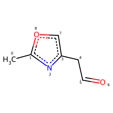 Cc1nc(C[C]=O)co1